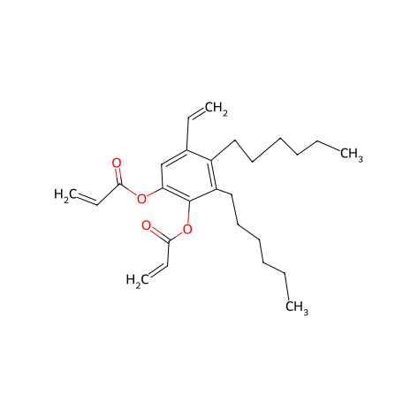 C=CC(=O)Oc1cc(C=C)c(CCCCCC)c(CCCCCC)c1OC(=O)C=C